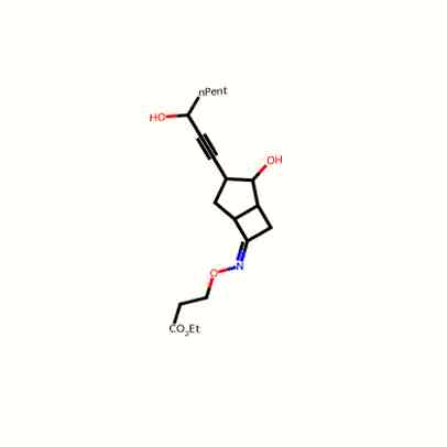 CCCCCC(O)C#CC1CC2C(=NOCCC(=O)OCC)CC2C1O